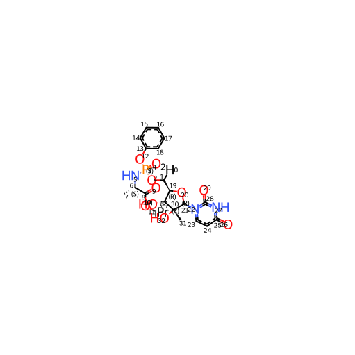 [2H]C(O[P@@](=O)(N[C@@H](C)C(=O)OC(C)C)Oc1ccccc1)[C@H]1O[C@@H](n2ccc(=O)[nH]c2=O)[C@](C)(O)[C@@H]1O